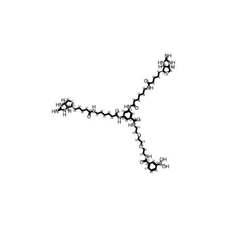 N=C1N[C@H]2[C@H](CS[C@H]2CCCCC(=O)NCCCCCC(=O)Nc2cc(NC(=O)CCCCCNC(=O)CCCC[C@@H]3SC[C@@H]4NC(=N)N[C@@H]43)cc(C(=O)NCCOCCOCCNC(=O)c3cccc(B(O)O)c3)c2)N1